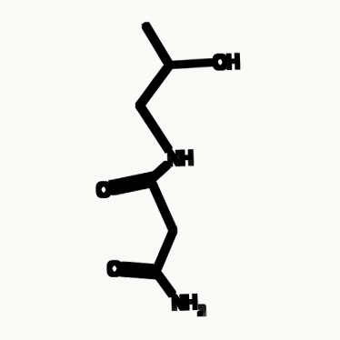 CC(O)CNC(=O)CC(N)=O